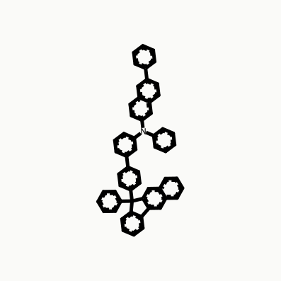 c1ccc(-c2ccc3cc(N(c4ccccc4)c4cccc(-c5ccc(C6(c7ccccc7)c7ccccc7-c7cc8ccccc8cc76)cc5)c4)ccc3c2)cc1